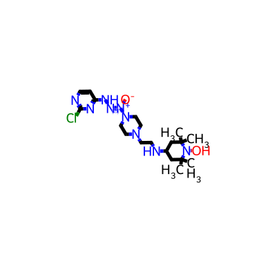 CC1(C)CC(NCCN2CCN(/[N+]([O-])=N/Nc3ccnc(Cl)n3)CC2)CC(C)(C)N1O